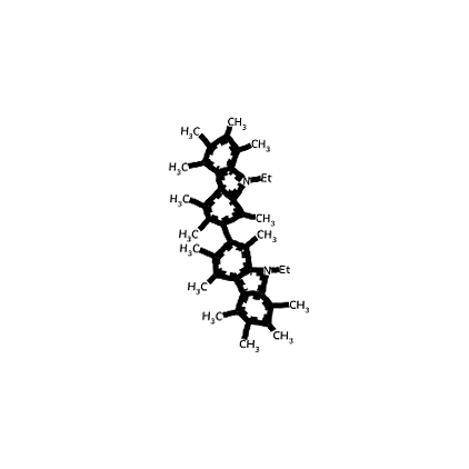 CCn1c2c(C)c(C)c(C)c(C)c2c2c(C)c(C)c(-c3c(C)c(C)c4c5c(C)c(C)c(C)c(C)c5n(CC)c4c3C)c(C)c21